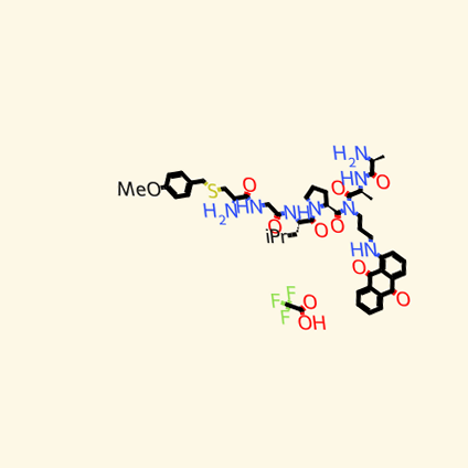 COc1ccc(CSC[C@H](N)C(=O)NCC(=O)N[C@@H](CC(C)C)C(=O)N2CCC[C@H]2C(=O)N(CCCNc2cccc3c2C(=O)c2ccccc2C3=O)C(=O)[C@H](C)NC(=O)[C@H](C)N)cc1.O=C(O)C(F)(F)F